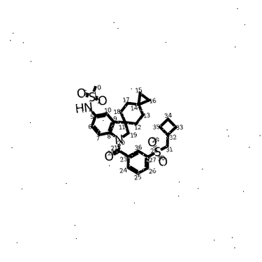 CS(=O)(=O)Nc1ccc2c(c1)C1(CCC3(CC3)CC1)CN2C(=O)c1cccc(S(=O)(=O)CC2CCC2)c1